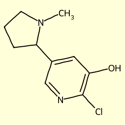 CN1CCCC1c1cnc(Cl)c(O)c1